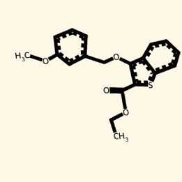 CCOC(=O)c1sc2ccccc2c1OCc1cccc(OC)c1